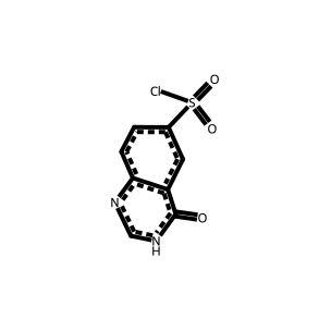 O=c1[nH]cnc2ccc(S(=O)(=O)Cl)cc12